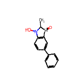 CC1N(O)c2ccc(-c3ccccc3)cc2[Se]1=O